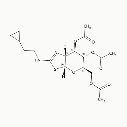 CC(=O)OC[C@H]1O[C@@H]2SC(NCCC3CC3)=N[C@@H]2[C@@H](OC(C)=O)[C@@H]1OC(C)=O